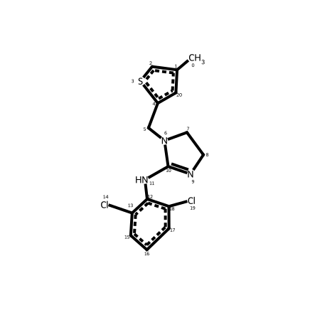 Cc1csc(CN2CCN=C2Nc2c(Cl)cccc2Cl)c1